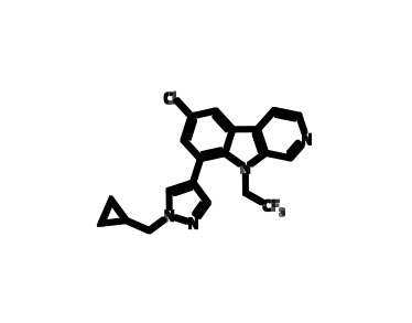 FC(F)(F)Cn1c2cnccc2c2cc(Cl)cc(-c3cnn(CC4CC4)c3)c21